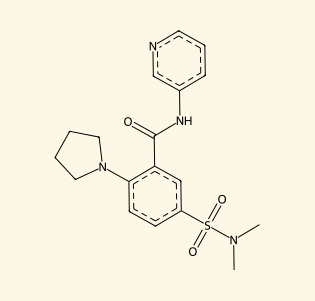 CN(C)S(=O)(=O)c1ccc(N2CCCC2)c(C(=O)Nc2cccnc2)c1